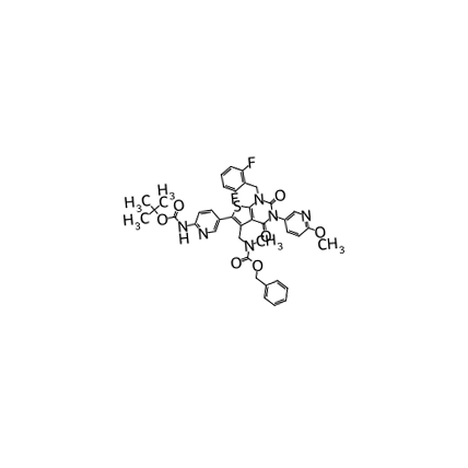 COc1ccc(-n2c(=O)c3c(CN(C)C(=O)OCc4ccccc4)c(-c4ccc(NC(=O)OC(C)(C)C)nc4)sc3n(Cc3c(F)cccc3F)c2=O)cn1